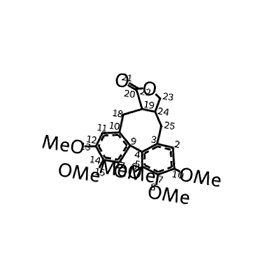 COc1cc2c(c(OC)c1OC)-c1c(cc(OC)c(OC)c1OC)CC1C(=O)OCC1C2